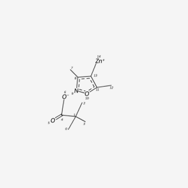 CC(C)(C)C(=O)[O-].Cc1noc(C)[c]1[Zn+]